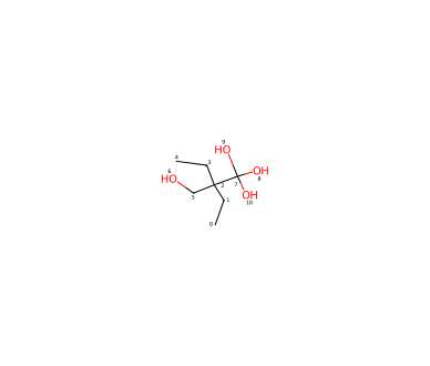 CCC(CC)(CO)C(O)(O)O